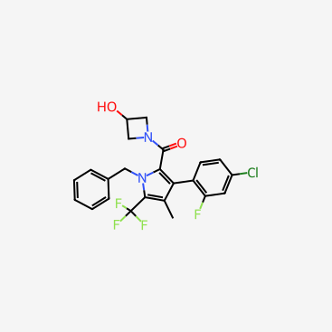 Cc1c(-c2ccc(Cl)cc2F)c(C(=O)N2CC(O)C2)n(Cc2ccccc2)c1C(F)(F)F